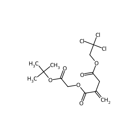 C=C(CC(=O)OCC(Cl)(Cl)Cl)C(=O)OCC(=O)OC(C)(C)C